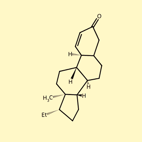 CC[C@H]1CC[C@H]2[C@@H]3CCC4CC(=O)C=C[C@@H]4[C@H]3CC[C@]12C